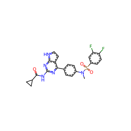 CN(c1ccc(-c2nc(NC(=O)C3CC3)nc3[nH]ccc23)cc1)S(=O)(=O)c1ccc(F)c(F)c1